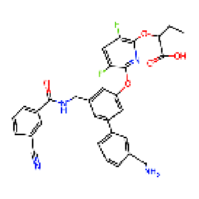 CCC(Oc1nc(Oc2cc(CNC(=O)c3cccc(C#N)c3)cc(-c3cccc(CN)c3)c2)c(F)cc1F)C(=O)O